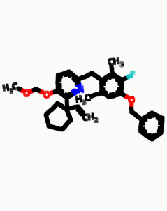 C=CC1(c2nc(Cc3c(C)cc(OCc4ccccc4)c(F)c3C)ccc2OCOC)CCCCC1